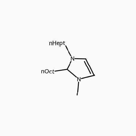 CCCCCCCCC1N(C)C=CN1CCCCCCC